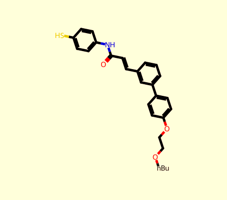 CCCCOCCOc1ccc(-c2cccc(/C=C/C(=O)Nc3ccc(S)cc3)c2)cc1